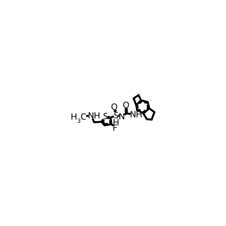 CNCc1cc(F)c(/[SH](=O)=N/C(=O)Nc2c3c(cc4c2CC4)CCC3)s1